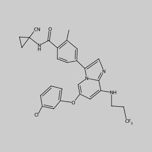 Cc1cc(-c2cnc3c(NCCC(F)(F)F)cc(Oc4cccc(Cl)c4)cn23)ccc1C(=O)NC1(C#N)CC1